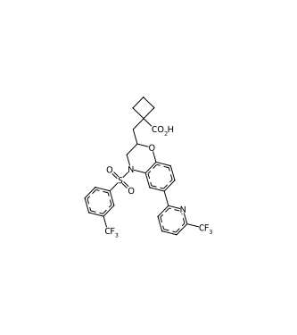 O=C(O)C1(CC2CN(S(=O)(=O)c3cccc(C(F)(F)F)c3)c3cc(-c4cccc(C(F)(F)F)n4)ccc3O2)CCC1